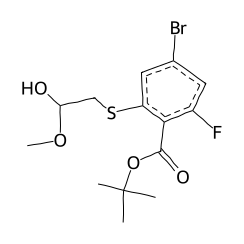 COC(O)CSc1cc(Br)cc(F)c1C(=O)OC(C)(C)C